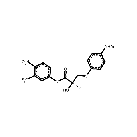 CC(=O)Nc1ccc(SC[C@@](C)(O)C(=O)Nc2ccc([N+](=O)[O-])c(C(F)(F)F)c2)cc1